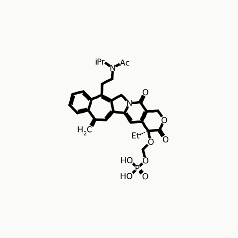 C=C1C=C2C(=C(CCN(C(C)=O)C(C)C)c3ccccc31)Cn1c2cc2c(c1=O)COC(=O)[C@@]2(CC)OCOP(=O)(O)O